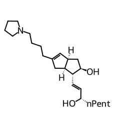 CCCCC[C@H](O)/C=C/[C@@H]1[C@H]2CC(CCCCN3CCCC3)=C[C@H]2C[C@H]1O